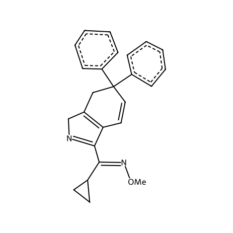 CON=C(C1=NCC2=C1C=CC(c1ccccc1)(c1ccccc1)C2)C1CC1